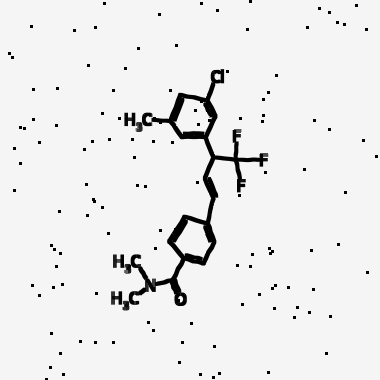 Cc1cc(Cl)cc(C(/C=C/c2ccc(C(=O)N(C)C)cc2)C(F)(F)F)c1